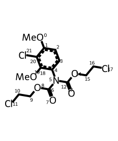 COc1ccc(N(C(=O)OCCCl)C(=O)OCCCl)c(OC)c1Cl